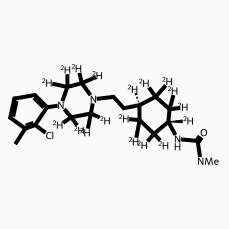 [2H]C1([2H])N(CC[C@]2([2H])C([2H])([2H])C([2H])([2H])[C@@]([2H])(NC(=O)NC)C([2H])([2H])C2([2H])[2H])C([2H])([2H])C([2H])([2H])N(c2cccc(C)c2Cl)C1([2H])[2H]